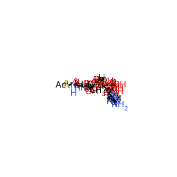 CC(=O)SCCNC(=O)CCNC(=O)[C@H](O)C(C)(C)COP(=O)(O)OP(=O)(O)OC[C@H]1O[C@@H](n2cnc3c(N)ncnc32)[C@H](O)[C@@H]1OP(=O)(O)O.[Li]